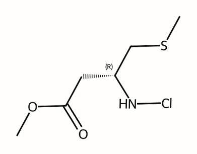 COC(=O)C[C@H](CSC)NCl